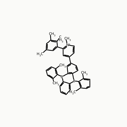 Cc1cc(C)c(C)c(-c2cc(-c3ccc4c(c3)B(c3c(C)cccc3C)c3ccccc3B4c3c(C)cccc3C)cc[n+]2C)c1